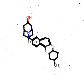 CC1CCC(Oc2ccc3cc(CN4C5CC(O)CC4CC(C(=O)O)C5)ccc3c2C(F)(F)F)CC1